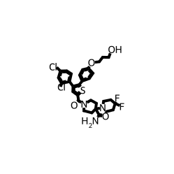 NC(=O)C1(N2CCC(F)(F)CC2)CCN(C(=O)c2cc(-c3ccc(Cl)cc3Cl)c(-c3ccc(OCCCO)cc3)s2)CC1